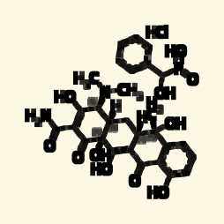 CN(C)[C@@H]1C(O)=C(C(N)=O)C(=O)[C@@]2(O)C(O)=C3C(=O)c4c(O)cccc4[C@@](C)(O)[C@H]3C[C@@H]12.Cl.O=[PH](O)C(O)c1ccccc1